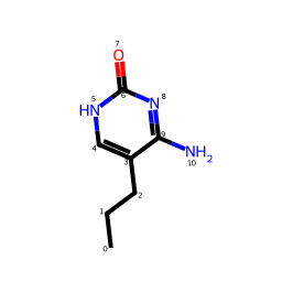 CCCc1c[nH]c(=O)nc1N